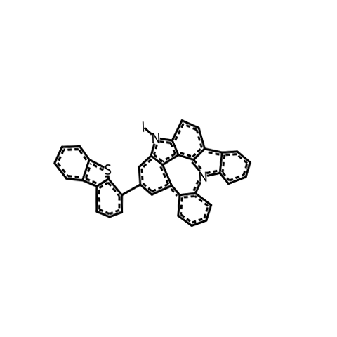 In1c2cc(-c3cccc4c3sc3ccccc34)cc3c4ccccc4n4c5ccccc5c5ccc1c(c32)c54